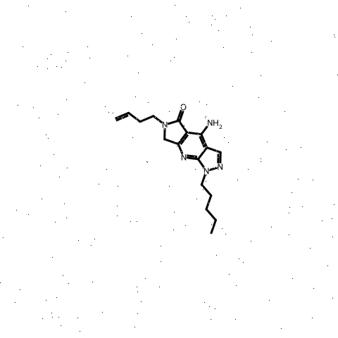 C=CCCN1Cc2nc3c(cnn3CCCCC)c(N)c2C1=O